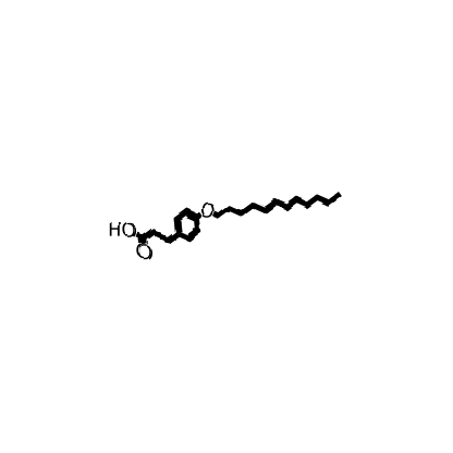 CCCCCCCCCCCCOc1ccc(CCC(=O)O)cc1